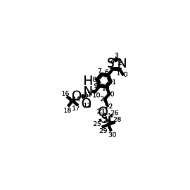 Cc1ncsc1-c1ccc(CNC(=O)OC(C)(C)C)c(CCCO[Si](C)(C)C(C)(C)C)c1